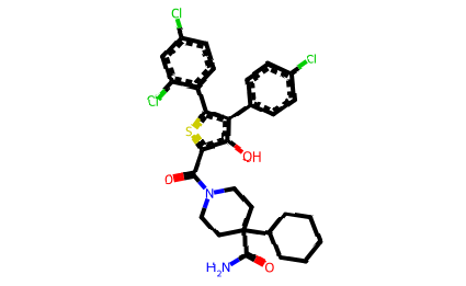 NC(=O)C1(C2CCCCC2)CCN(C(=O)c2sc(-c3ccc(Cl)cc3Cl)c(-c3ccc(Cl)cc3)c2O)CC1